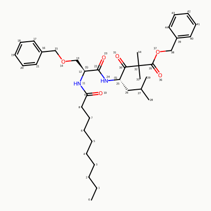 CCCCCCCCCC(=O)N[C@@H](COCc1ccccc1)C(=O)N[C@@H](CC(C)C)C(=O)C(C)(C)C(=O)OCc1ccccc1